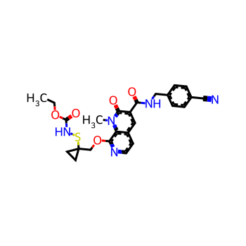 CCOC(=O)NSC1(COc2nccc3cc(C(=O)NCc4ccc(C#N)cc4)c(=O)n(C)c23)CC1